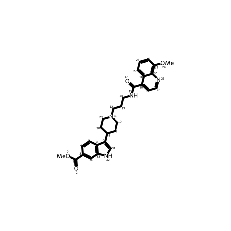 COC(=O)c1ccc2c(C3CCN(CCCNC(=O)c4ccnc5c(OC)cccc45)CC3)c[nH]c2c1